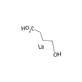 O=C(O)CCCO.[La]